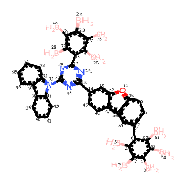 Bc1c(B)c(B)c(-c2ccc3oc4cc(-c5nc(-c6c(B)c(B)c(B)c(B)c6B)nc(-n6c7ccccc7c7ccccc76)n5)ccc4c3c2)c(B)c1B